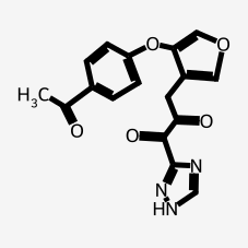 CC(=O)c1ccc(Oc2cocc2CC(=O)C(=O)c2nc[nH]n2)cc1